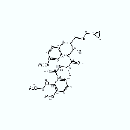 COc1ccc(C[C@H](COCC2CC2)[C@H](C)OC(=O)[C@H](C)NC(=O)c2nccc(OC)c2OCOC(C)=O)cc1